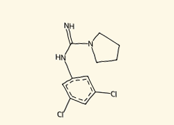 N=C(Nc1cc(Cl)cc(Cl)c1)N1CCCC1